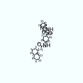 O=C(Cc1cccc2ccccc12)Nc1ccc(S(=O)(=O)Nc2nccs2)cc1